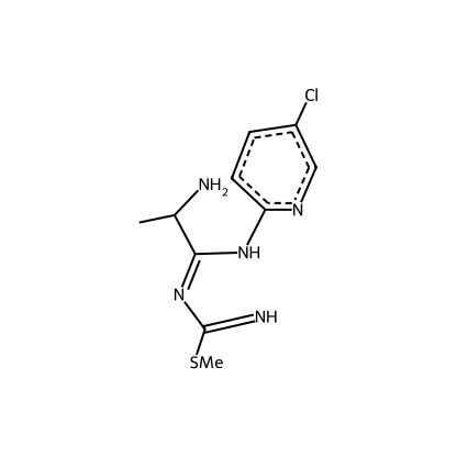 CSC(=N)/N=C(\Nc1ccc(Cl)cn1)C(C)N